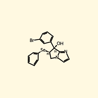 O[C@@]1(c2cccc(Br)c2)c2nccn2C[C@H]1[Se]c1ccccc1